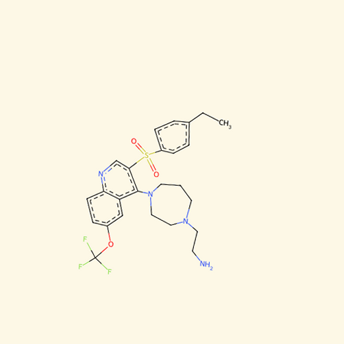 CCc1ccc(S(=O)(=O)c2cnc3ccc(OC(F)(F)F)cc3c2N2CCCN(CCN)CC2)cc1